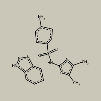 Cc1nc(NS(=O)(=O)c2ccc(N)cc2)oc1C.c1ccc2[nH]nnc2c1